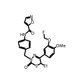 CCC1SC(=O)N(Cc2ccc(NC(=O)c3ccno3)cc2)N=C1c1ccc(OC)c(OCF)c1